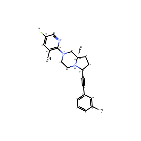 N#Cc1cccc(C#C[C@@H]2CC[C@@H]3CN(c4ncc(F)cc4C#N)CCN32)c1